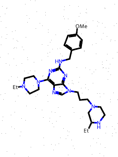 CCC1CN(CCCn2cnc3c(N4CCN(CC)CC4)nc(NCc4ccc(OC)cc4)nc32)CCN1